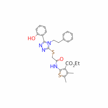 CCOC(=O)c1c(NC(=O)CSc2nnc(-c3ccccc3O)n2CCc2ccccc2)sc(C)c1C